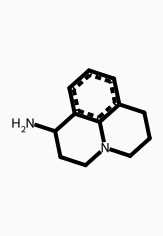 NC1CCN2CCCc3cccc1c32